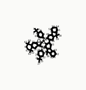 CC(C)(C)c1ccc(N2B3c4oc5cc6c(cc5c4N(c4ccc(C(C)(C)C)cc4)c4c3c(cc3c4C(C)(C)c4ccccc4-3)-c3cc4c(cc32)-c2ccccc2C4(C)C)C(C)(C)CCC6(C)C)cc1